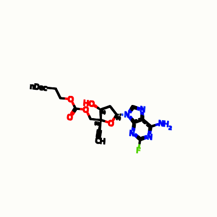 C#C[C@]1(COC(=O)OCCCCCCCCCCCC)O[C@@H](n2cnc3c(N)nc(F)nc32)C[C@@H]1O